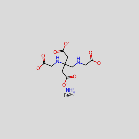 O=C([O-])CNCC(CC(=O)[O-])(CC(=O)[O-])NCC(=O)[O-].[Fe+3].[NH4+]